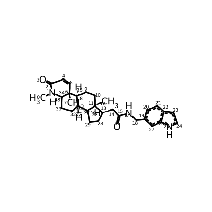 CN1C(=O)C=C[C@]2(C)[C@H]3CC[C@]4(C)[C@@H](CC(=O)NCc5ccc6cc[nH]c6c5)CC[C@H]4[C@@H]3CC[C@@H]12